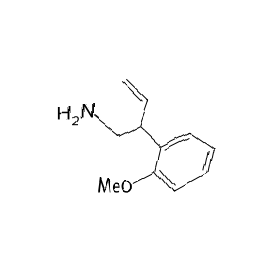 C=CC(CN)c1ccccc1OC